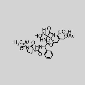 CC(=O)OCC1=C(C(=O)O)N2C(=O)[C@@](NO)(NC(=O)C(NC(=O)N3CCN(S(C)(=O)=O)C3=O)c3ccccc3)[C@@H]2SC1